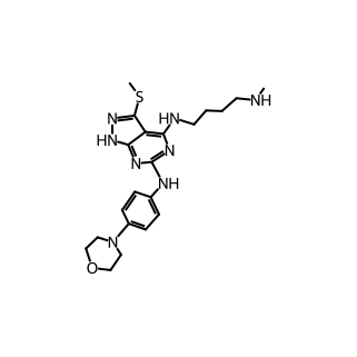 CNCCCCNc1nc(Nc2ccc(N3CCOCC3)cc2)nc2[nH]nc(SC)c12